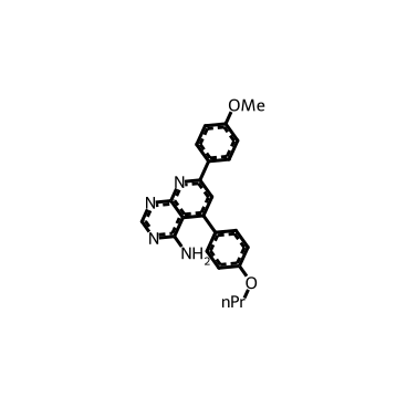 CCCOc1ccc(-c2cc(-c3ccc(OC)cc3)nc3ncnc(N)c23)cc1